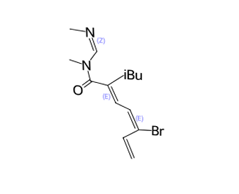 C=C/C(Br)=C\C=C(\C(=O)N(C)/C=N\C)C(C)CC